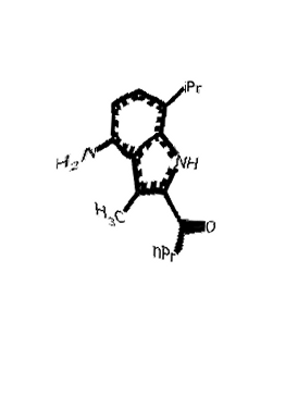 CCCC(=O)c1[nH]c2c(C(C)C)ccc(N)c2c1C